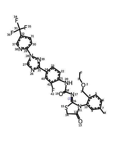 CCOCc1ccc(C)cc1N1C(=O)CS/C1=N\C(=O)Nc1ccc(-c2ncn(-c3ccc(C(F)(F)F)cn3)n2)cc1F